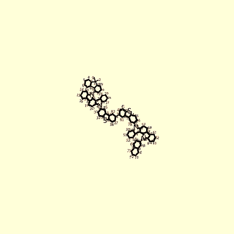 CC1(C)c2ccccc2-c2c(-n3c4ccccc4c4ccc5c(c6ccccc6n5-c5ccc6sc7ccc(-c8ccc9sc%10ccc(-n%11c%12ccccc%12c%12c%11ccc%11c%13ccccc%13n(-c%13ccc%14ccccc%14c%13)c%11%12)cc%10c9c8)cc7c6c5)c43)cccc21